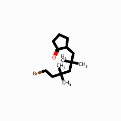 CC(C)(CCBr)CC(C)(C)CC1CCCC1=O